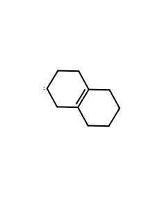 [C]1CCC2=C(C1)CCCC2